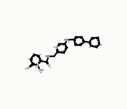 O=C(NCc1ccc(Nc2ccc(-c3ccccc3)cc2)cn1)c1cccc(=O)n1O